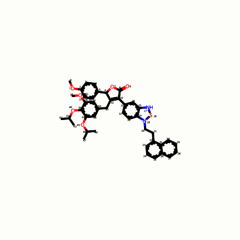 COc1ccc([C]2OC(=O)C(c3ccc4c(c3)NSN4CCc3cccc4ccccc34)=C2Cc2cc(OC)c(OC(C)C)c(OC(C)C)c2)cc1